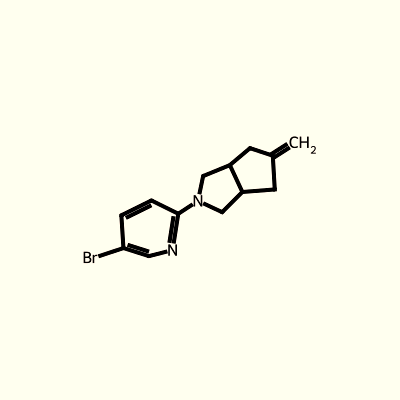 C=C1CC2CN(c3ccc(Br)cn3)CC2C1